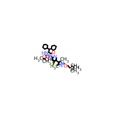 Cc1nn(COCC[Si](C)(C)C)c(C)c1-c1cnc(NC(=O)C(NC(=O)OC(C)(C)C)C(C2CCCCC2)C2CCCCC2)cc1C(F)F